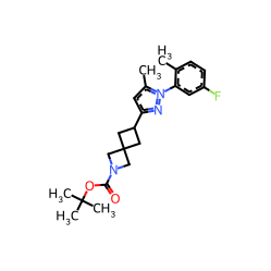 Cc1ccc(F)cc1-n1nc(C2CC3(C2)CN(C(=O)OC(C)(C)C)C3)cc1C